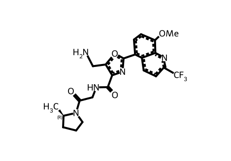 COc1ccc(-c2nc(C(=O)NCC(=O)N3CCC[C@H]3C)c(CN)o2)c2ccc(C(F)(F)F)nc12